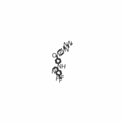 CN(C)c1cnc(N2CCN(C(=O)c3ccc(Nc4ccnc5cc(C(F)(F)F)ccc45)cc3)CC2)cn1